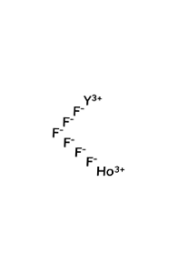 [F-].[F-].[F-].[F-].[F-].[F-].[Ho+3].[Y+3]